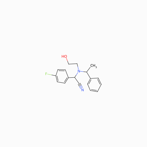 CC(c1ccccc1)N(CCO)C(C#N)c1ccc(F)cc1